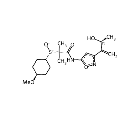 C=C(c1cc(NC(=O)C(C)(C)[S+]([O-])[C@H]2CC[C@H](OC)CC2)on1)[C@H](C)O